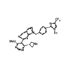 CCn1cc(C(F)(F)F)nc1-c1ccc(Cn2ncc3cnc(-c4c(OC)ncnc4C4CNC4)nc32)cc1